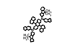 CC1(C)C2=CC(N(c3ccc4ccccc4c3)c3ccc4c(-c5cccc6ccccc56)c5c(c(-c6cccc7ccccc67)c4c3)=CCC(N(c3ccc4c(c3)C(C)(C)C3=C4CCC=C3)c3ccc4ccccc4c3)C=5)CC=C2c2ccccc21